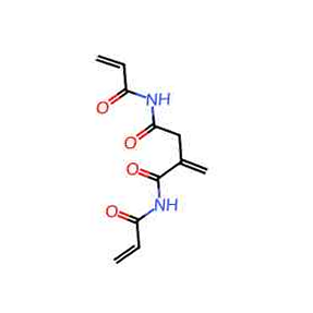 C=CC(=O)NC(=O)CC(=C)C(=O)NC(=O)C=C